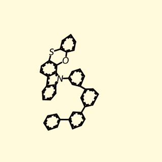 c1ccc(-c2cccc(-c3cccc(-c4cccc(-n5c6ccccc6c6ccc7c(c65)Oc5ccccc5S7)c4)c3)c2)cc1